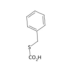 O=C(O)SCc1ccccc1